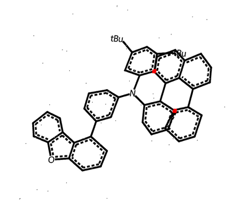 CC(C)(C)c1cc(N(c2cccc(-c3cccc4oc5ccccc5c34)c2)c2ccccc2-c2cccc3cccc(-c4ccccc4)c23)cc(C(C)(C)C)c1